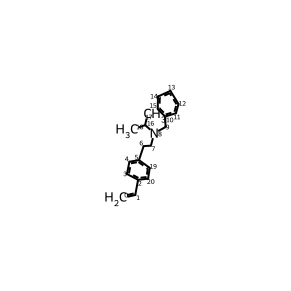 C=Cc1ccc(CCN(Cc2ccccc2)C(C)C)cc1